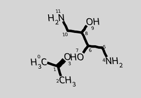 CC(C)=O.NCC(O)C(O)CN